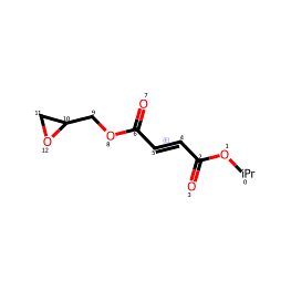 CC(C)OC(=O)/C=C/C(=O)OCC1CO1